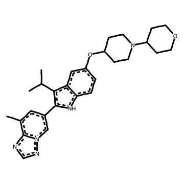 Cc1cc(-c2[nH]c3ccc(OC4CCN(C5CCOCC5)CC4)cc3c2C(C)C)cn2ncnc12